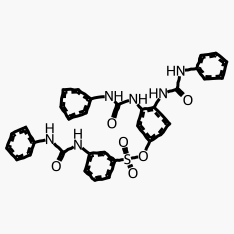 O=C(Nc1ccccc1)Nc1cccc(S(=O)(=O)Oc2ccc(NC(=O)Nc3ccccc3)c(NC(=O)Nc3ccccc3)c2)c1